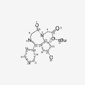 CC(C)(C)OC(=O)CN1C(=O)CN=C(c2ccccc2)c2cc(Cl)ccc21